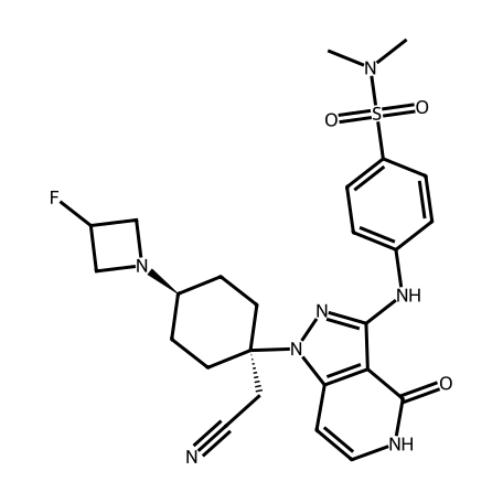 CN(C)S(=O)(=O)c1ccc(Nc2nn([C@]3(CC#N)CC[C@H](N4CC(F)C4)CC3)c3cc[nH]c(=O)c23)cc1